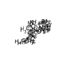 Cc1n[nH]c2cccc(-c3ccc(C#CC(C)(C)O)nc3[C@H](Cc3cc(F)cc(F)c3)NC(=O)Cn3nc(C(F)(F)F)c4c3C(F)(F)[C@@H]3CC[C@H]43)c12